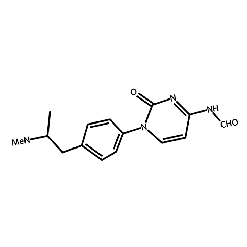 CNC(C)Cc1ccc(-n2ccc(NC=O)nc2=O)cc1